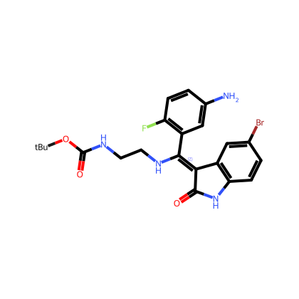 CC(C)(C)OC(=O)NCCN/C(=C1\C(=O)Nc2ccc(Br)cc21)c1cc(N)ccc1F